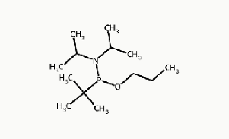 CCCOP(N(C(C)C)C(C)C)C(C)(C)C